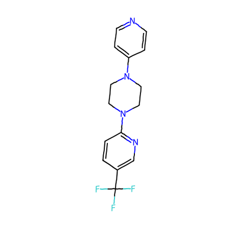 FC(F)(F)c1ccc(N2CCN(c3ccncc3)CC2)nc1